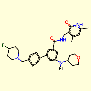 CCN(c1cc(C(=O)NCc2c(C)cc(C)[nH]c2=O)cc(-c2ccc(CN3CCC(F)CC3)cc2)c1)C1CCOCC1